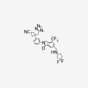 Cn1cnnc1CC1(c2cccc(N3Cc4c(cc(CN[C@@H]5CCC(F)(F)C5)cc4C(F)(F)F)C3=O)c2)CC(C#N)C1